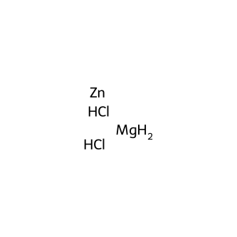 Cl.Cl.[MgH2].[Zn]